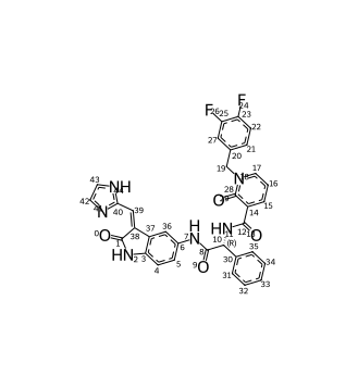 O=C1Nc2ccc(NC(=O)[C@H](NC(=O)c3cccn(Cc4ccc(F)c(F)c4)c3=O)c3ccccc3)cc2C1=Cc1ncc[nH]1